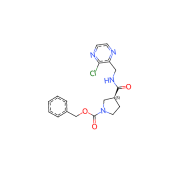 O=C(NCc1nccnc1Cl)[C@H]1CCN(C(=O)OCc2ccccc2)C1